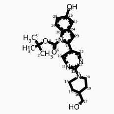 CC(C)(C)OC(=O)n1c(-c2cnc(N3CCC(CO)CC3)nc2)cc2cc(O)ccc21